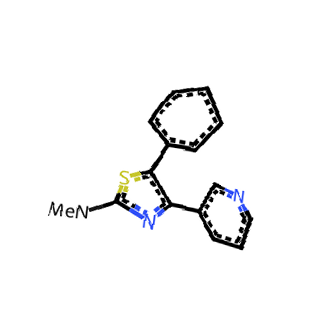 CNc1nc(-c2cccnc2)c(-c2ccccc2)s1